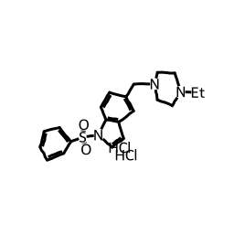 CCN1CCN(Cc2ccc3c(ccn3S(=O)(=O)c3ccccc3)c2)CC1.Cl.Cl